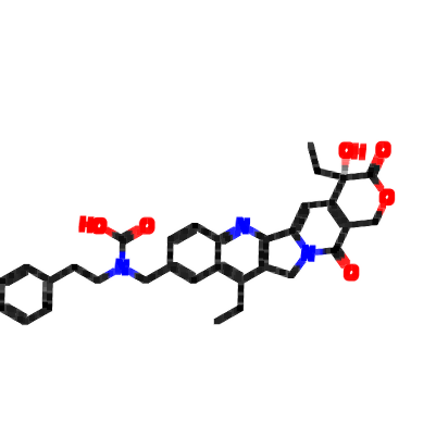 CCc1c2c(nc3ccc(CN(CCc4ccc(I)cc4)C(=O)O)cc13)-c1cc3c(c(=O)n1C2)COC(=O)[C@]3(O)CC